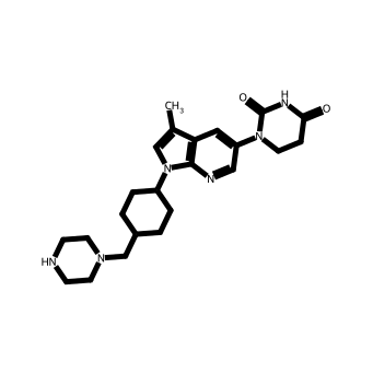 Cc1cn(C2CCC(CN3CCNCC3)CC2)c2ncc(N3CCC(=O)NC3=O)cc12